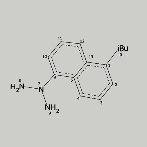 CCC(C)c1cccc2c(N(N)N)cccc12